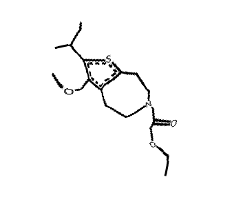 CCOC(=O)N1CCc2sc(C(C)C)c(OC)c2CC1